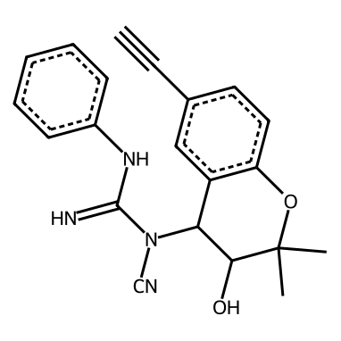 C#Cc1ccc2c(c1)C(N(C#N)C(=N)Nc1ccccc1)C(O)C(C)(C)O2